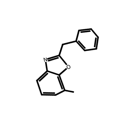 Cc1cccc2nc(Cc3ccccc3)oc12